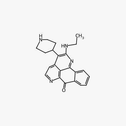 CCNc1nc2c3c(nccc3c1C1CCNCC1)C(=O)c1ccccc1-2